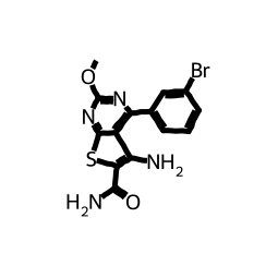 COc1nc(-c2cccc(Br)c2)c2c(N)c(C(N)=O)sc2n1